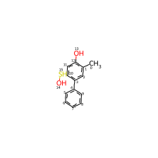 Cc1cc(-c2cc[c]cc2)ccc1O.OS